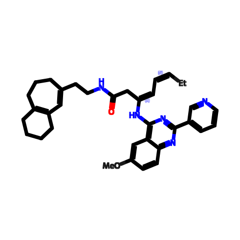 CC/C=C\C=C(/CC(=O)NCCC1=CC2=C(CCCC2)CCC1)Nc1nc(-c2cccnc2)nc2ccc(OC)cc12